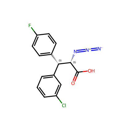 [N-]=[N+]=N[C@H](C(=O)O)[C@@H](c1ccc(F)cc1)c1cccc(Cl)c1